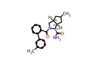 Cc1cccc(-c2ccccc2C(=O)N2C[C@@H]3CC(C)C[C@@H]3[C@H]2C(N)=O)c1